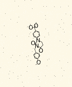 COc1ccc(CN2C(=O)CCN(c3ccc(C(OC)OC)cc3)C2=O)cc1